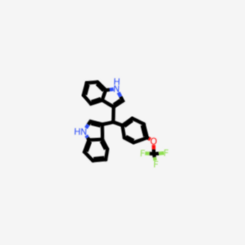 FC(F)(F)Oc1ccc(C(c2c[nH]c3ccccc23)c2c[nH]c3ccccc23)cc1